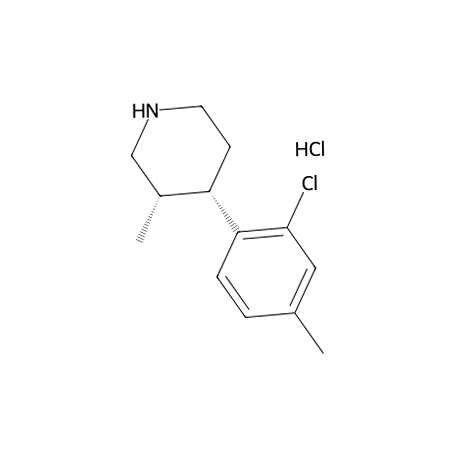 Cc1ccc([C@H]2CCNC[C@H]2C)c(Cl)c1.Cl